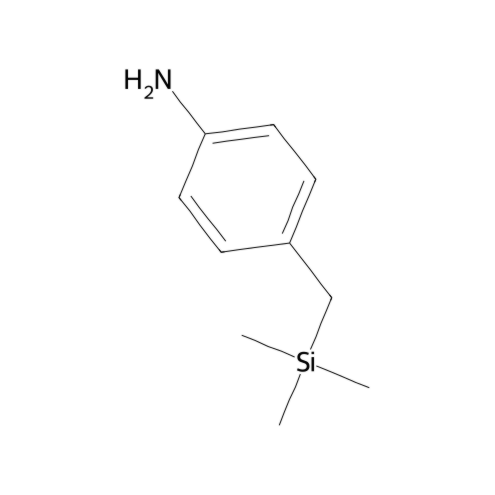 C[Si](C)(C)Cc1ccc(N)cc1